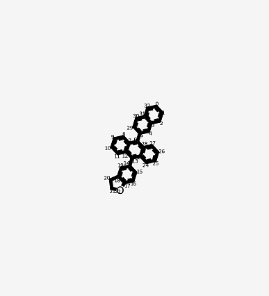 c1ccc2cc(-c3c4ccccc4c(-c4ccc5c(c4)CCO5)c4ccccc34)ccc2c1